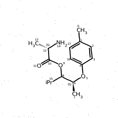 Cc1ccc(O[C@@H](C)C(OC(=O)[C@H](C)N)C(C)C)cc1